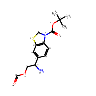 CC(C)(C)OC(=O)N1CSc2cc(C(N)COC=O)ccc21